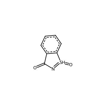 O=C1N=[SH](=O)c2ccccc21